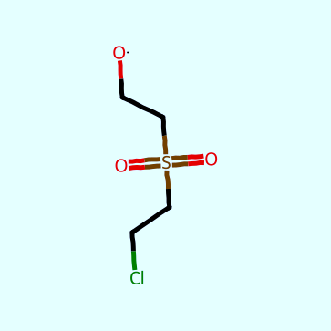 [O]CCS(=O)(=O)CCCl